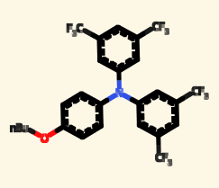 CCCCOc1ccc(N(c2cc(C(F)(F)F)cc(C(F)(F)F)c2)c2cc(C(F)(F)F)cc(C(F)(F)F)c2)cc1